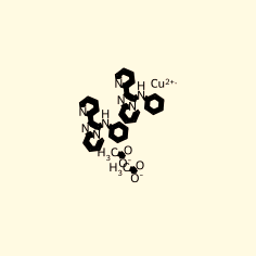 CC(=O)[O-].CC(=O)[O-].[Cu+2].c1ccc(-c2nc3ccccn3c2NC2CCCCC2)nc1.c1ccc(-c2nc3ccccn3c2NC2CCCCC2)nc1